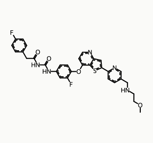 COCCNCc1ccc(-c2cc3nccc(Oc4ccc(NC(=O)NC(=O)Cc5ccc(F)cc5)cc4F)c3s2)nc1